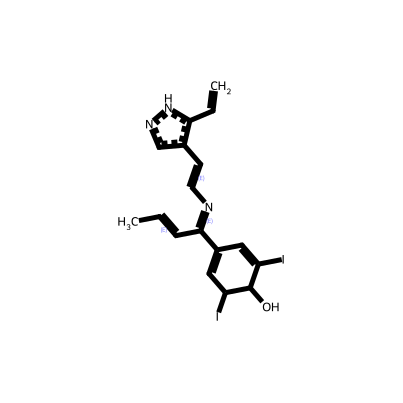 C=Cc1[nH]ncc1/C=C/N=C(\C=C\C)C1=CC(I)C(O)C(I)=C1